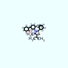 Cc1ccc2c(oc3ccccc32)c1N1C(c2ccccc2)SC(C(C)C)[C@@H]1C